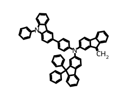 C=C1c2ccccc2-c2ccc(N(c3ccc(-c4ccc5c(c4)c4ccccc4n5-c4ccccc4)cc3)c3ccc4c(c3)C(c3ccccc3)(c3ccccc3)c3ccccc3-4)cc21